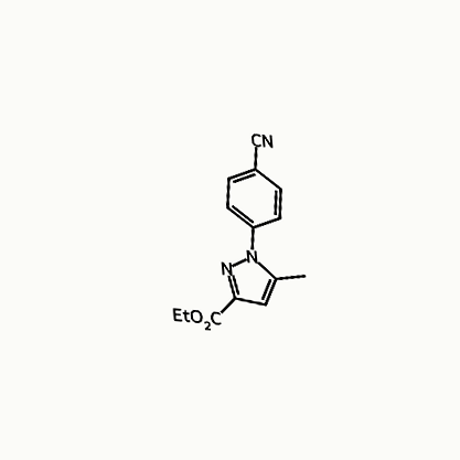 CCOC(=O)c1cc(C)n(-c2ccc(C#N)cc2)n1